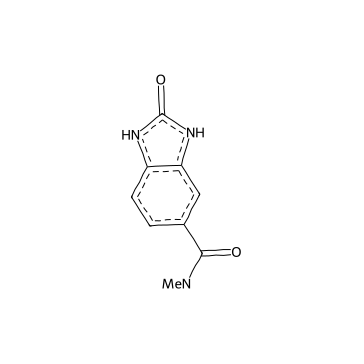 CNC(=O)c1ccc2[nH]c(=O)[nH]c2c1